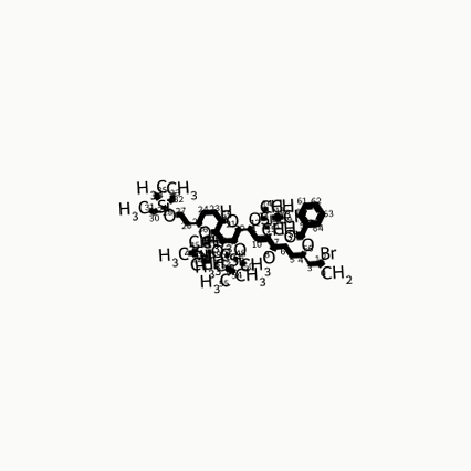 C=C(Br)C[C@@H](CCC(=O)/C=C/C(O[Si](C)(C)C(C)(C)C)[C@@H]1O[C@H]2CC[C@H](CCO[Si](CC)(CC)CC)O[C@@H]2C(O[Si](C)(C)C(C)(C)C)C1O[Si](C)(C)C(C)(C)C)OC(=O)c1ccccc1